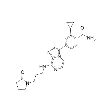 NC(=O)c1ccc(-c2cnc3c(NCCCN4CCCC4=O)nccn23)cc1C1CC1